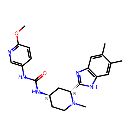 COc1ccc(NC(=O)N[C@@H]2CCN(C)[C@@H](c3nc4cc(C)c(C)cc4[nH]3)C2)cn1